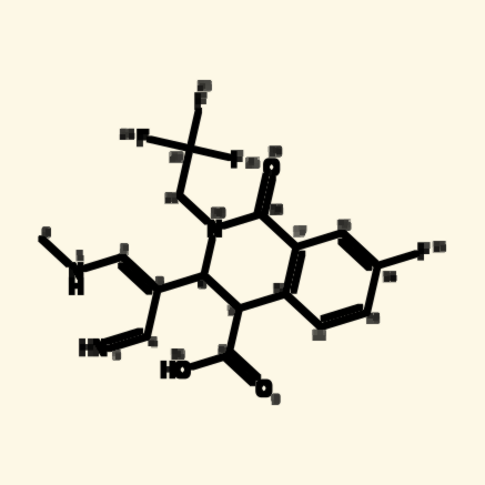 CN/C=C(\C=N)C1C(C(=O)O)c2ccc(F)cc2C(=O)N1CC(F)(F)F